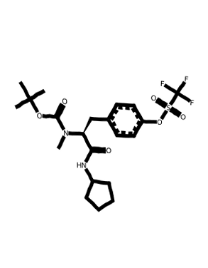 CN(C(=O)OC(C)(C)C)[C@@H](Cc1ccc(OS(=O)(=O)C(F)(F)F)cc1)C(=O)NC1CCCC1